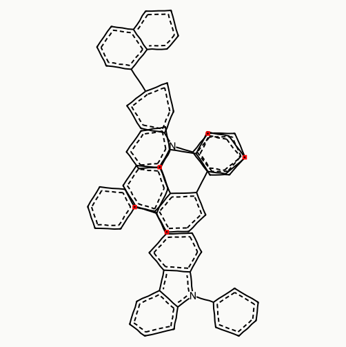 c1ccc(-c2ccccc2-c2c(-c3ccccc3)cccc2-c2ccccc2N(c2ccc(-c3cccc4ccccc34)cc2)c2cccc(-c3ccc4c(c3)c3ccccc3n4-c3ccccc3)c2)cc1